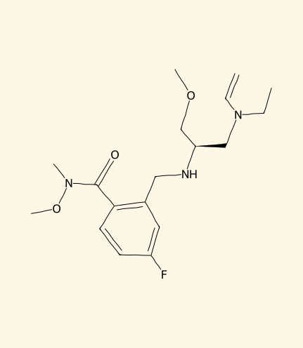 C=CN(CC)C[C@H](COC)NCc1cc(F)ccc1C(=O)N(C)OC